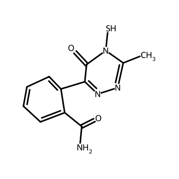 Cc1nnc(-c2ccccc2C(N)=O)c(=O)n1S